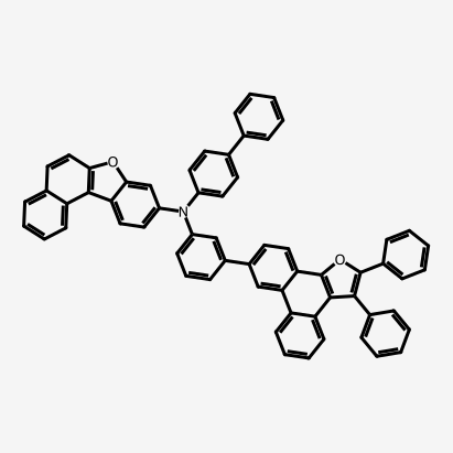 c1ccc(-c2ccc(N(c3cccc(-c4ccc5c(c4)c4ccccc4c4c(-c6ccccc6)c(-c6ccccc6)oc54)c3)c3ccc4c(c3)oc3ccc5ccccc5c34)cc2)cc1